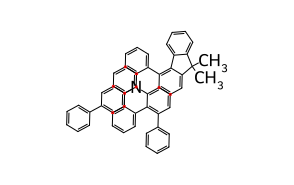 CC1(C)c2ccccc2-c2c(-c3ccccc3N(c3ccc(-c4ccccc4)cc3)c3cccc(-c4ccccc4)c3-c3ccccc3-c3ccccc3)cccc21